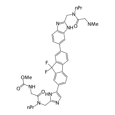 CCCN(Cc1ncc(-c2ccc3c(c2)C(F)(F)c2cc(-c4ccc5nc(CN(CCC)C(=O)CNC)[nH]c5c4)ccc2-3)[nH]1)C(=O)CNC(=O)OC